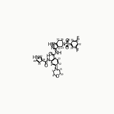 O=C(Nc1cc(N2CCOCC2)ccc1C(=O)Nc1n[nH]c2c1CN(S(=O)(=O)c1cc(F)cc(F)c1)CC2)c1cc[nH]c1